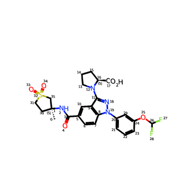 C[C@]1(NC(=O)c2ccc3c(c2)c(N2CCC[C@H]2C(=O)O)nn3-c2cccc(OC(F)F)c2)CCS(=O)(=O)C1